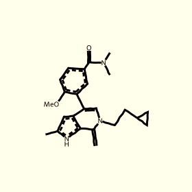 C=C1c2[nH]c(C)cc2C(c2cc(C(=O)N(C)C)ccc2OC)=CN1CCC1CC1